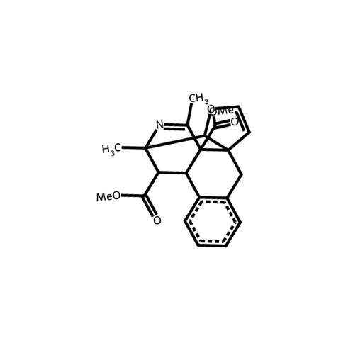 COC(=O)C1C2c3ccccc3CC34C=COC3C1(C)N=C(C)C24C(=O)OC